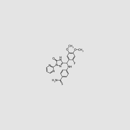 COc1cc(F)c(C(Nc2ccc(C(N)=S)cc2)c2nn(-c3ncccn3)c(=O)[nH]2)cc1OC